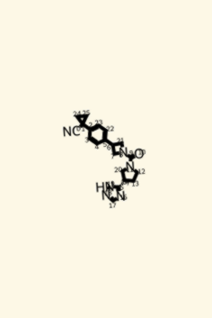 N#CC1(c2ccc(C3CN(C(=O)N4CC[C@H](c5ncn[nH]5)C4)C3)cc2)CC1